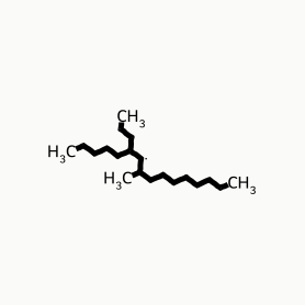 CCCCCCCCC(C)[CH]C(CCC)CCCCC